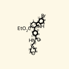 CCOC(=O)N1CCc2c([nH]c3ccc(Br)cc23)C1c1ccc(C(=O)NCCN2CCOCC2)cc1